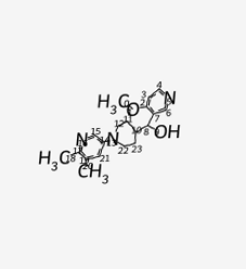 COc1ccncc1C(O)C1CCN(c2cnc(C)c(C)c2)CC1